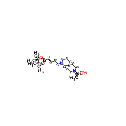 CB(O)N1CCC2(CCCN(CC/C=C/B3OC(C)(C)C(C)(C)O3)C2)CC1